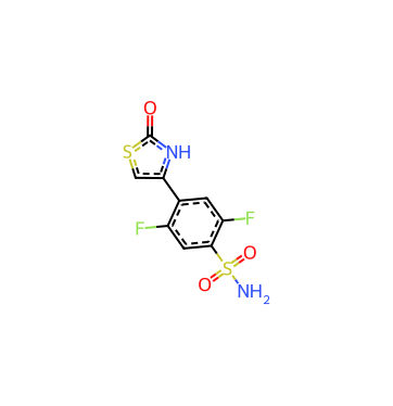 NS(=O)(=O)c1cc(F)c(-c2csc(=O)[nH]2)cc1F